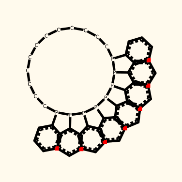 c1ccc(P2CCCCCCCCCCCCP(c3ccccc3)P(c3ccccc3)P(c3ccccc3)P(c3ccccc3)P(c3ccccc3)P(c3ccccc3)P2c2ccccc2)cc1